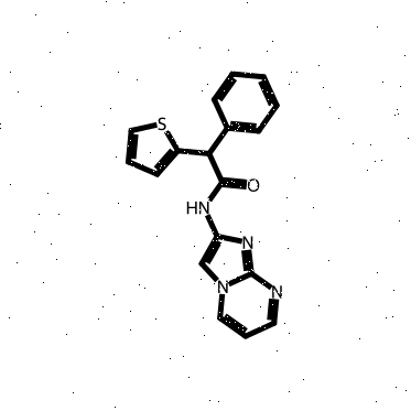 O=C(Nc1cn2cccnc2n1)C(c1ccccc1)c1cccs1